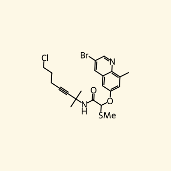 CSC(Oc1cc(C)c2ncc(Br)cc2c1)C(=O)NC(C)(C)C#CCCCCl